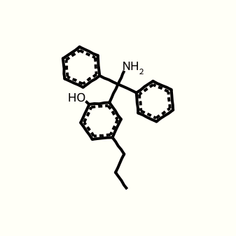 CCCc1ccc(O)c(C(N)(c2ccccc2)c2ccccc2)c1